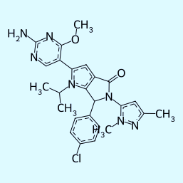 COc1nc(N)ncc1-c1cc2c(n1C(C)C)C(c1ccc(Cl)cc1)N(c1cc(C)nn1C)C2=O